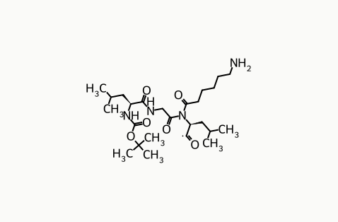 CC(C)C[C@H](NC(=O)OC(C)(C)C)C(=O)NCC(=O)N(C(=O)CCCCCN)[C@H]([C]=O)CC(C)C